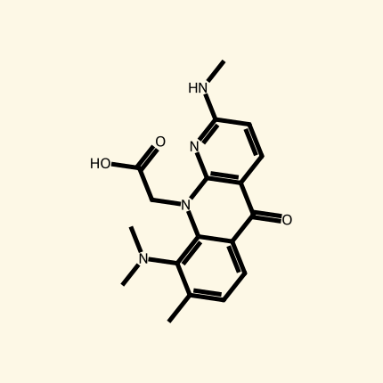 CNc1ccc2c(=O)c3ccc(C)c(N(C)C)c3n(CC(=O)O)c2n1